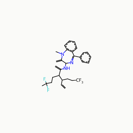 C=CC(CCC(F)(F)F)C(CCC(C)(F)F)C(=C)NC1N=C(c2ccccc2)c2ccccc2N(C)C1=C